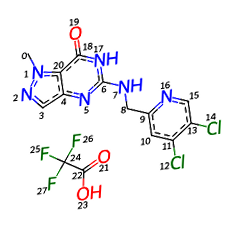 Cn1ncc2nc(NCc3cc(Cl)c(Cl)cn3)[nH]c(=O)c21.O=C(O)C(F)(F)F